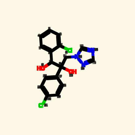 OC(c1ccccc1Cl)C(O)(Cn1cncn1)c1ccc(Cl)cc1